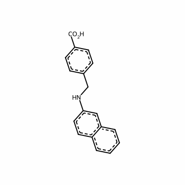 O=C(O)c1ccc(CNc2ccc3ccccc3c2)cc1